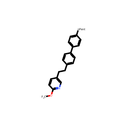 CCCCCc1ccc(-c2ccc(CCc3ccc(OC(F)(F)F)nc3)cc2)cc1